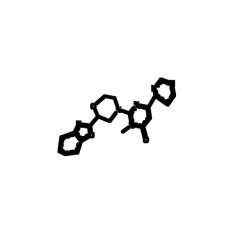 Cn1c(N2CCOC(c3nc4ccccc4o3)C2)nc(-c2ccncn2)cc1=O